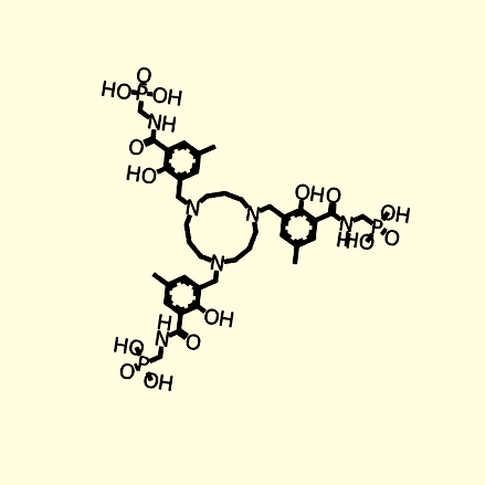 Cc1cc(CN2CCCN(Cc3cc(C)cc(C(=O)NCP(=O)(O)O)c3O)CCCN(Cc3cc(C)cc(C(=O)NCP(=O)(O)O)c3O)CCC2)c(O)c(C(=O)NCP(=O)(O)O)c1